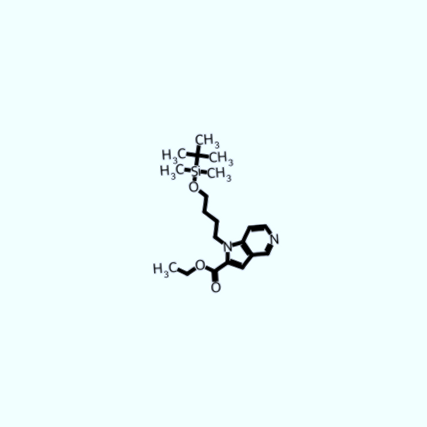 CCOC(=O)c1cc2cnccc2n1CCCCO[Si](C)(C)C(C)(C)C